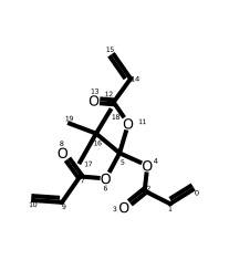 C=CC(=O)OC(OC(=O)C=C)(OC(=O)C=C)C(C)(C)C